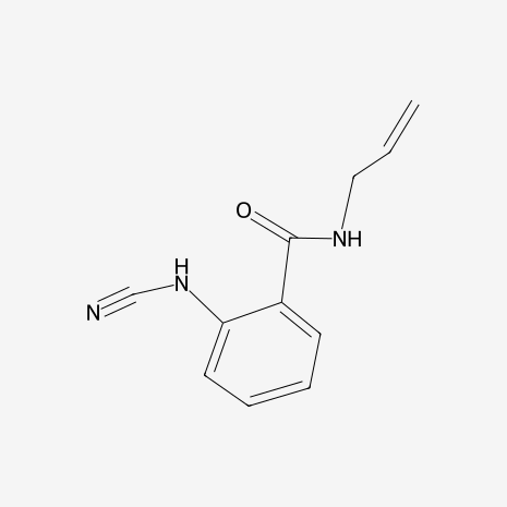 C=CCNC(=O)c1ccccc1NC#N